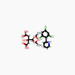 CCOCC.Clc1cc(Cl)c(-c2ccccn2)c(Cl)c1.O=C(O)CC(O)(CC(=O)O)C(=O)O